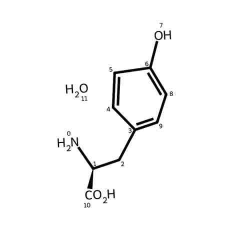 N[C@@H](Cc1ccc(O)cc1)C(=O)O.O